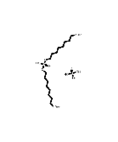 CCCCCCCCCCCCCCCCCCOP(=O)(O)OCCCCCCCCCCCCCCCCCC.O=P(O)(O)O